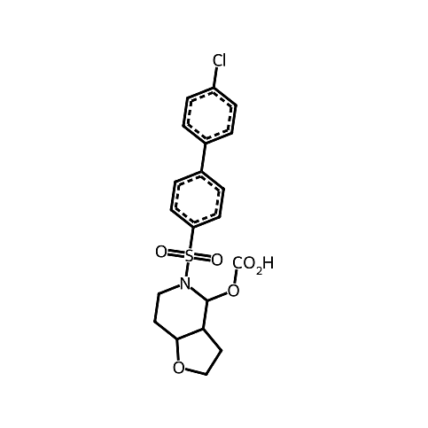 O=C(O)OC1C2CCOC2CCN1S(=O)(=O)c1ccc(-c2ccc(Cl)cc2)cc1